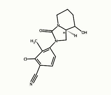 Cc1c(N2C[C@@H]3C(O)CCCN3C2=O)ccc(C#N)c1Cl